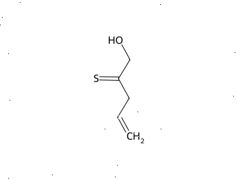 C=CCC(=S)CO